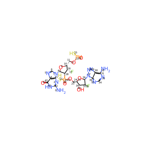 Nc1nc2c(ncn2[C@@H]2O[C@H](CO[PH](=O)S)[C@H](F)[C@H]2P(=O)(S)OC[C@H]2O[C@@H](n3nnc4c(N)ncnc43)[C@@H](F)[C@@H]2O)c(=O)[nH]1